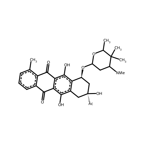 CNC1CC(O[C@H]2C[C@](O)(C(C)=O)Cc3c(O)c4c(c(O)c32)C(=O)c2c(C)cccc2C4=O)OC(C)C1(C)C